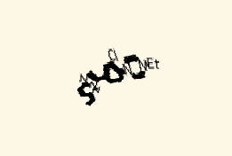 C=Cc1ccc2ncc(-c3ccc(N4CCN(CC)CC4)c(Cl)c3)n2n1